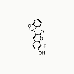 O=c1oc2c(F)c(O)ccc2cc1N1COc2ccccc21